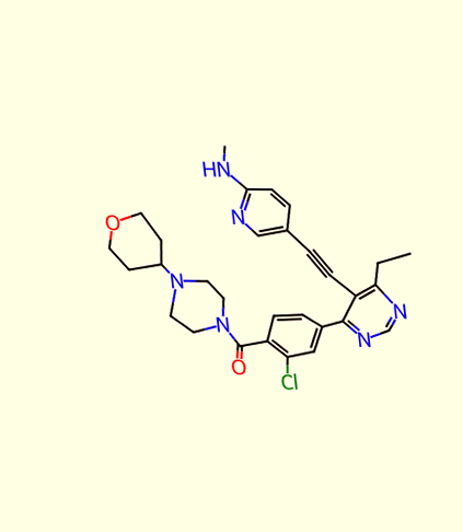 CCc1ncnc(-c2ccc(C(=O)N3CCN(C4CCOCC4)CC3)c(Cl)c2)c1C#Cc1ccc(NC)nc1